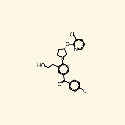 O=C(c1ccc(Cl)cc1)c1ccc(N2CC[C@H](Oc3ncccc3Cl)C2)c(CCO)c1